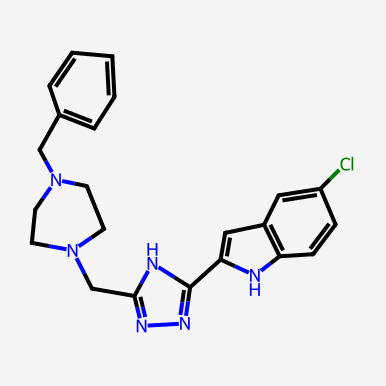 Clc1ccc2[nH]c(-c3nnc(CN4CCN(Cc5ccccc5)CC4)[nH]3)cc2c1